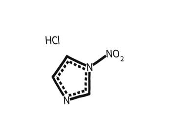 Cl.O=[N+]([O-])n1ccnc1